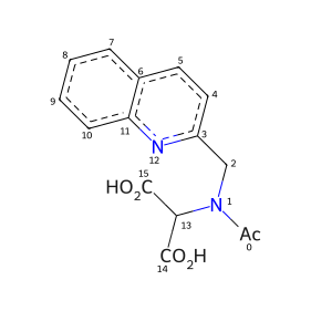 CC(=O)N(Cc1ccc2ccccc2n1)C(C(=O)O)C(=O)O